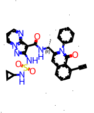 C#Cc1cccc2cc([C@@H](C)NC(=O)c3c(NS(=O)(=O)NC4CC4)nn4cccnc34)n(-c3ccccc3)c(=O)c12